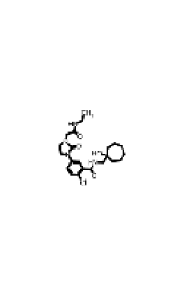 CCNC(=O)Cn1ccn(-c2ccc(Cl)c(C(=O)NCC3(O)CCCCCC3)c2)c1=O